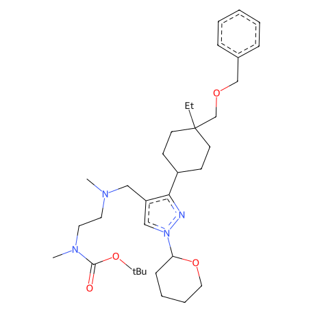 CCC1(COCc2ccccc2)CCC(c2nn(C3CCCCO3)cc2CN(C)CCN(C)C(=O)OC(C)(C)C)CC1